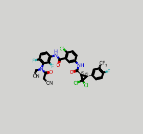 N#CCC(=O)N(CC#N)c1c(F)ccc(NC(=O)c2cc(NC(=O)[C@H]3[C@H](c4ccc(F)c(C(F)(F)F)c4)C3(Cl)Cl)ccc2Cl)c1F